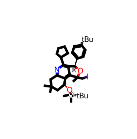 CC1(C)Cc2nc(C3CCCC3)c3c(c2[C@@H](O[Si](C)(C)C(C)(C)C)C1)C(C)(CI)O[C@@H]3c1ccc(C(C)(C)C)cc1